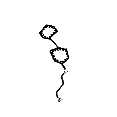 CC(C)CCCOc1ccc(-c2ccccc2)cc1